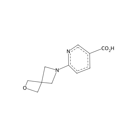 O=C(O)c1ccc(N2CC3(COC3)C2)nc1